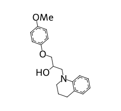 COc1ccc(OCC(O)CN2CCCc3ccccc32)cc1